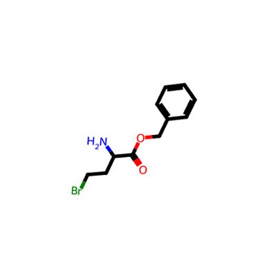 NC(CCBr)C(=O)OCc1ccccc1